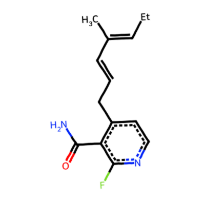 CCC=C(C)C=CCc1ccnc(F)c1C(N)=O